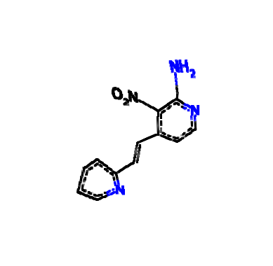 Nc1nccc(/C=C/c2ccccn2)c1[N+](=O)[O-]